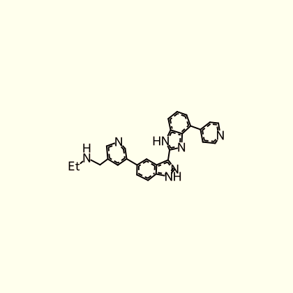 CCNCc1cncc(-c2ccc3[nH]nc(-c4nc5c(-c6ccncc6)cccc5[nH]4)c3c2)c1